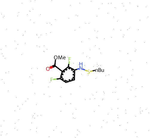 CCCCSNc1ccc(F)c(C(=O)OC)c1F